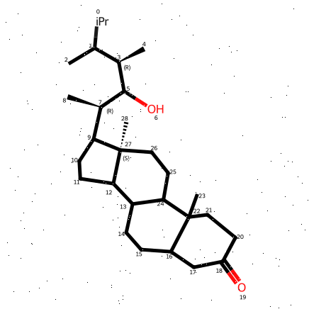 CC(C)C(C)[C@@H](C)C(O)[C@H](C)C1CCC2C3CCC4CC(=O)CCC4(C)C3CC[C@@]21C